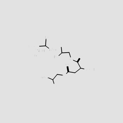 CCCCC(CC)C(=O)O.CCCCC(CC)COC(=O)CC(C(=O)OCC(CC)CCCC)S(=O)(=O)O.[NaH].[SnH2]